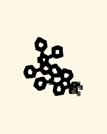 CC1(C)c2ccccc2-c2c(N(c3ccccc3)c3cccc4c3cc(-c3ccccc3)n3nc(-c5ccccc5)c(-c5ccccc5)c43)cccc21